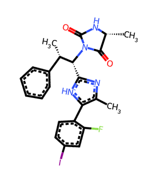 Cc1nc([C@H]([C@@H](C)c2ccccc2)N2C(=O)N[C@H](C)C2=O)[nH]c1-c1ccc(I)cc1F